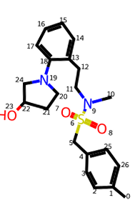 Cc1ccc(CS(=O)(=O)N(C)CCc2ccccc2N2CCC(O)C2)cc1